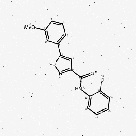 COc1cccc(-c2cc(C(=O)Nc3ccccc3Cl)no2)c1